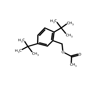 CC(=O)OCc1cc(C(C)(C)C)ccc1C(C)(C)C